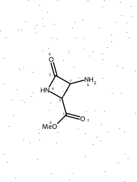 COC(=O)C1NC(=O)C1N